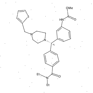 CCN(CC)C(=O)c1ccc([C@@H](c2cccc(NC(=O)OC)c2)N2CCN(Cc3cccs3)CC2)cc1